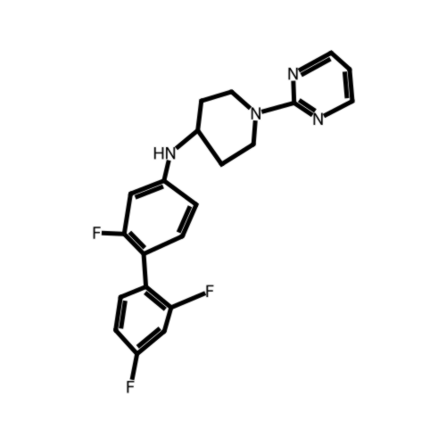 Fc1ccc(-c2ccc(NC3CCN(c4ncccn4)CC3)cc2F)c(F)c1